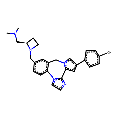 CN(C)C[C@H]1CCN1Cc1ccc2c(c1)Cn1cc(-c3ccc(C#N)cc3)cc1-c1nccn1-2